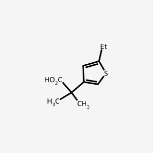 [CH2]Cc1cc(C(C)(C)C(=O)O)cs1